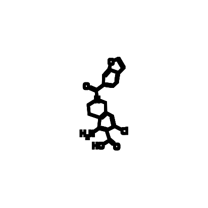 Nc1c2c(cc(Cl)c1C(=O)O)CN(C(=O)c1ccc3ccoc3c1)CC2